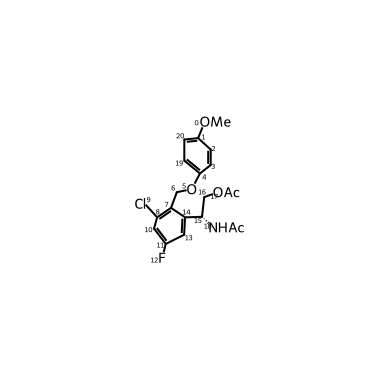 COc1ccc(OCc2c(Cl)cc(F)cc2[C@H](COC(C)=O)NC(C)=O)cc1